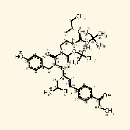 CCCC[C@@H](CN(C(=O)OC(C)(C)C)C(=O)[C@H](Cc1ccc(O)cc1)N[C@H](/C=C/c1ccc(C(=O)OC)cc1)CC(C)C)NC(=O)OC(C)(C)C